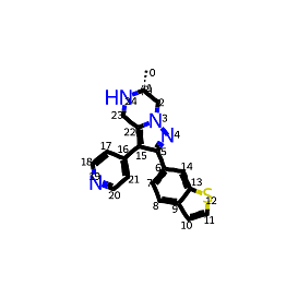 C[C@@H]1Cn2nc(-c3ccc4ccsc4c3)c(-c3ccncc3)c2CN1